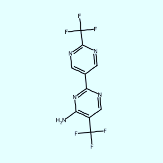 Nc1nc(-c2cnc(C(F)(F)F)nc2)ncc1C(F)(F)F